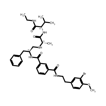 CCNC(=O)[C@@H](NC(=O)[C@H](C)NC[C@H](Cc1ccccc1)NC(=O)c1cccc(C(=O)NCCc2ccc(OC)c(Br)c2)c1)C(C)C